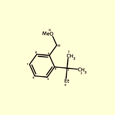 CCC(C)(C)c1ccccc1COC